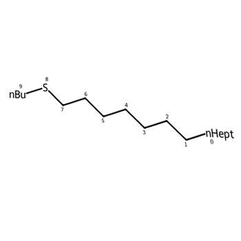 CCCCCCCCCCCCCCSCCCC